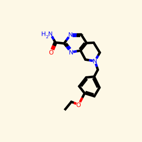 CCOc1ccc(CN2CCc3[c]nc(C(N)=O)nc3C2)cc1